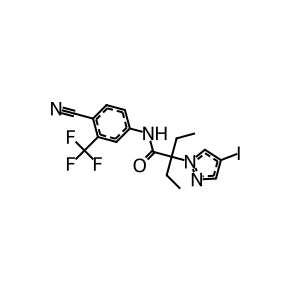 CCC(CC)(C(=O)Nc1ccc(C#N)c(C(F)(F)F)c1)n1cc(I)cn1